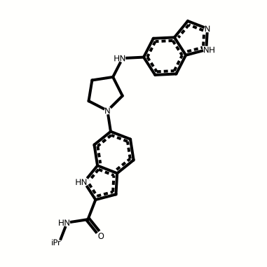 CC(C)NC(=O)c1cc2ccc(N3CCC(Nc4ccc5[nH]ncc5c4)C3)cc2[nH]1